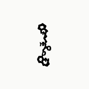 O=C(COc1cccc2cccnc12)NCCCN1Cc2ccccc2C1